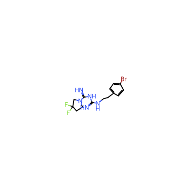 N=C(NCCc1ccc(Br)cc1)NC(=N)N1CCC(F)(F)C1